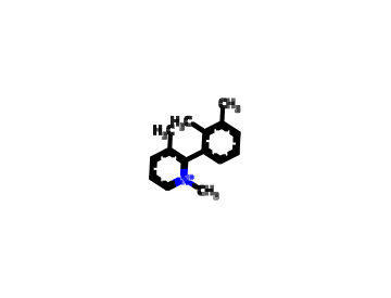 Cc1cccc(-c2c(C)ccc[n+]2C)c1C